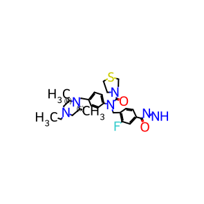 CCN1C[C@@H](C)N(Cc2ccc(N(Cc3ccc(C(=O)N=N)cc3F)C(=O)N3CCSCC3)cc2)[C@@H](C)C1